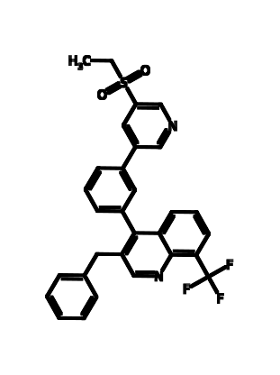 CCS(=O)(=O)c1cncc(-c2cccc(-c3c(Cc4ccccc4)cnc4c(C(F)(F)F)cccc34)c2)c1